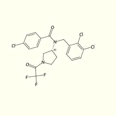 O=C(c1ccc(Cl)cc1)N(Cc1cccc(Cl)c1Cl)[C@@H]1CCN(C(=O)C(F)(F)F)C1